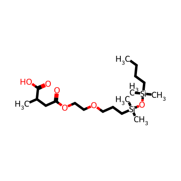 CCCC[Si](C)(C)O[Si](C)(C)CCCOCCOC(=O)CC(C)C(=O)O